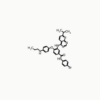 CCCNc1ccc(Oc2ccc(C(=O)Nc3ccc(Br)cc3)cc2Nc2ncnc3nc(C(C)C)ccc23)cc1